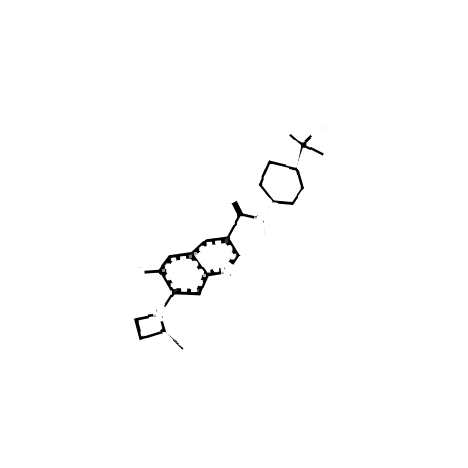 C[C@H]1CCN1c1cc2ncc(C(=O)N[C@H]3CC[C@H](C(C)(C)O)CC3)cc2cc1F